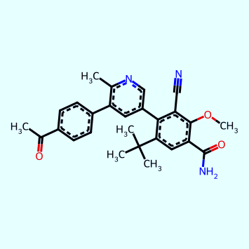 COc1c(C(N)=O)cc(C(C)(C)C)c(-c2cnc(C)c(-c3ccc(C(C)=O)cc3)c2)c1C#N